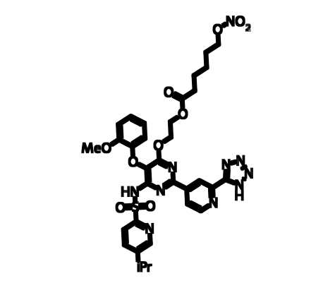 COc1ccccc1Oc1c(NS(=O)(=O)c2ccc(C(C)C)cn2)nc(-c2ccnc(-c3nnn[nH]3)c2)nc1OCCOC(=O)CCCCCO[N+](=O)[O-]